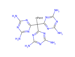 CCCCCC(c1nc(N)nc(N)n1)(c1nc(N)nc(N)n1)c1nc(N)nc(N)n1